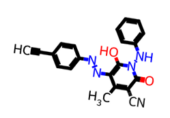 C#Cc1ccc(/N=N/c2c(C)c(C#N)c(=O)n(Nc3ccccc3)c2O)cc1